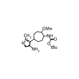 COC1CCC(c2c(N)cnn2C)CCC1NC(=O)OC(C)(C)C